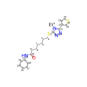 CCn1c(SCCCCCCC(=O)Nc2ccccc2)nnc1-c1ccsc1